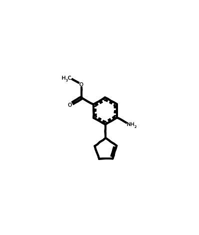 COC(=O)c1ccc(N)c(C2C=CCC2)c1